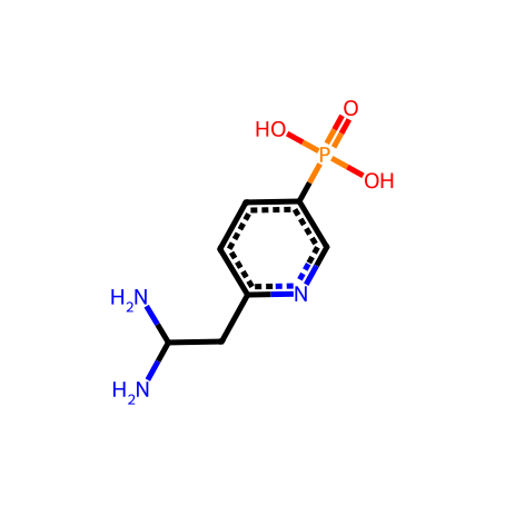 NC(N)Cc1ccc(P(=O)(O)O)cn1